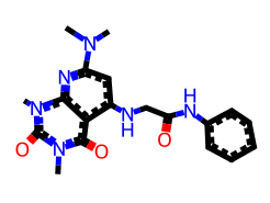 CN(C)c1cc(NCC(=O)Nc2ccccc2)c2c(=O)n(C)c(=O)n(C)c2n1